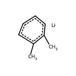 Cc1ccccc1C.[Li]